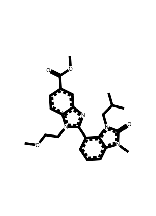 COCCn1c(-c2cccc3c2n(CC(C)C)c(=O)n3C)nc2cc(C(=O)OC)ccc21